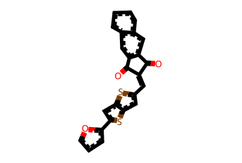 O=C1C(=Cc2cc3sc(-c4ccco4)cc3s2)C(=O)c2cc3ccccc3cc21